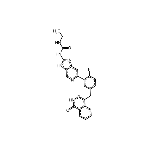 CCNC(=O)Nc1nc2cc(-c3cc(Cc4n[nH]c(=O)c5ccccc45)ccc3F)ncc2[nH]1